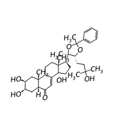 CC(C)(O)CC[C@H]1OC(C)(c2ccccc2)O[C@]1(C)[C@H]1CC[C@@]2(O)C3=CC(=O)[C@@H]4C[C@@H](O)[C@@H](O)C[C@]4(C)C3CC[C@]12C